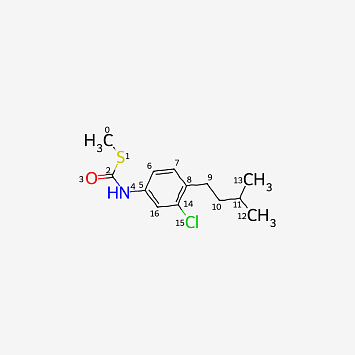 CSC(=O)Nc1ccc(CCC(C)C)c(Cl)c1